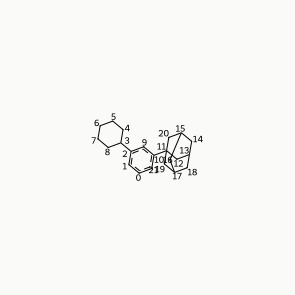 c1cc(C2CCCCC2)cc(C23CC4CC(CC(C4)C2)C3)c1